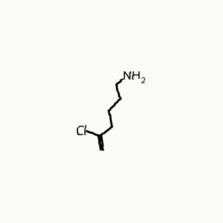 C=C(Cl)CCCCN